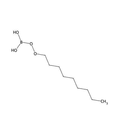 CCCCCCCCCOOB(O)O